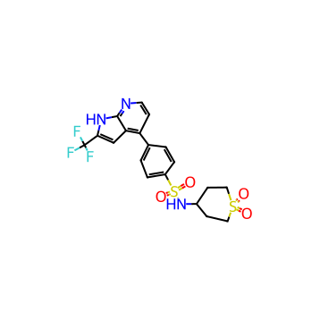 O=S1(=O)CCC(NS(=O)(=O)c2ccc(-c3ccnc4[nH]c(C(F)(F)F)cc34)cc2)CC1